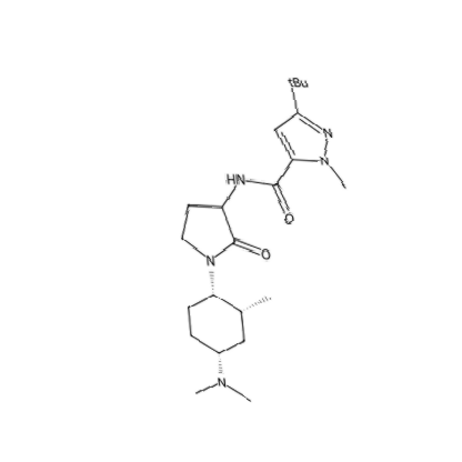 [CH2][C@@H]1C[C@H](N(C)C)CC[C@@H]1N1CCC(NC(=O)c2cc(C(C)(C)C)nn2C)C1=O